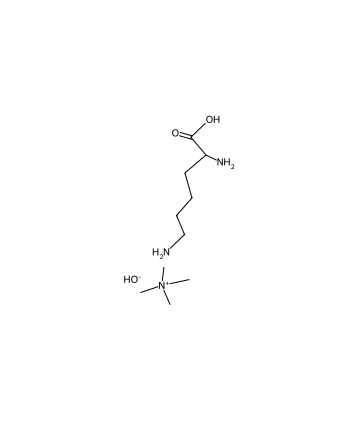 C[N+](C)(C)C.NCCCCC(N)C(=O)O.[OH-]